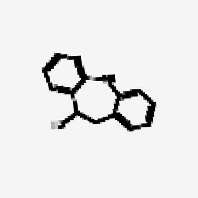 OC1Cc2ccccc2Nc2ncccc21